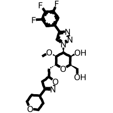 CO[C@@H]1[C@@H](n2cc(-c3cc(F)c(F)c(F)c3)nn2)[C@@H](O)[C@@H](CO)O[C@@H]1CC1CC(C2CCOCC2)=NO1